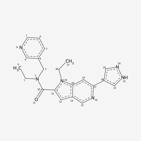 CCN(Cc1cccnc1)C(=O)c1cc2cnc(-c3cn[nH]c3)cc2n1CC